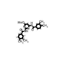 COc1cc(NC(=O)c2ccc(C)c(C)c2)nc(NC(=O)c2ccc(C)c(C)c2)n1